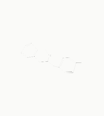 CNC([CH]c1ccc(F)cc1)Cc1ccccc1